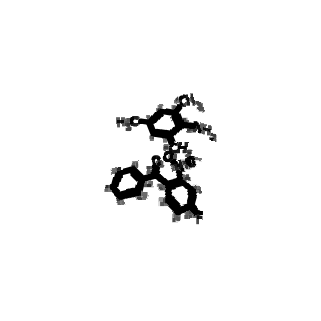 Cc1cc(C)c(N)c(C)c1.O=C(c1ccccc1)c1ccc(F)cc1[N+](=O)[O-]